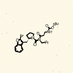 CC(C)CN(C(=O)CCNC(=O)OC(C)(C)C)C(=O)N1CCC[C@H]1Cc1c(Br)oc2ccccc12